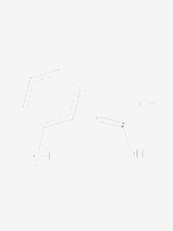 O=C(O)O.Oc1ccccc1